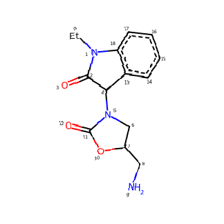 CCN1C(=O)C(N2CC(CN)OC2=O)c2ccccc21